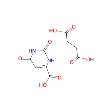 O=C(O)CCC(=O)O.O=C(O)c1cc(=O)[nH]c(=O)[nH]1